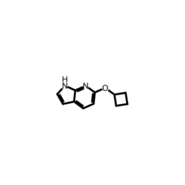 c1cc2ccc(OC3CCC3)nc2[nH]1